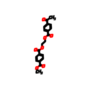 COC(=O)c1ccc(C(=O)OCCOC(=O)c2ccc(C(C)=O)cc2)cc1